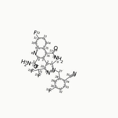 Cc1c(-c2c(C(N)=O)nc3cc(F)ccc3c2C(N)=O)c(C(F)(F)F)nn1Cc1cc(F)ccc1C#N